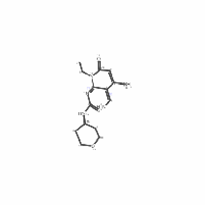 C=C(/N=C1\C(=C/N)C(N)=CC(=O)N1CC)NC1CCOCC1